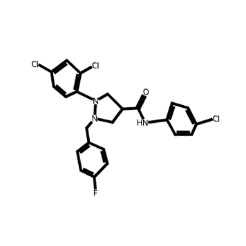 O=C(Nc1ccc(Cl)cc1)C1CN(Cc2ccc(F)cc2)N(c2ccc(Cl)cc2Cl)C1